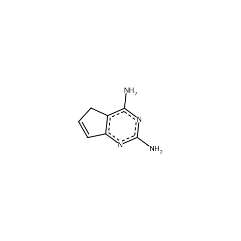 Nc1nc(N)c2c(n1)C=CC2